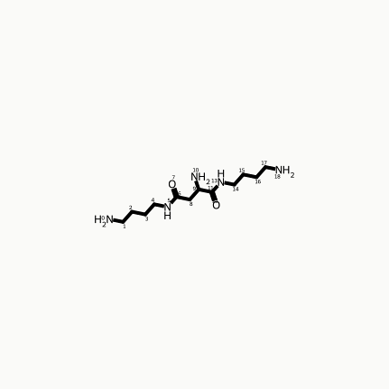 NCCCCNC(=O)CC(N)C(=O)NCCCCN